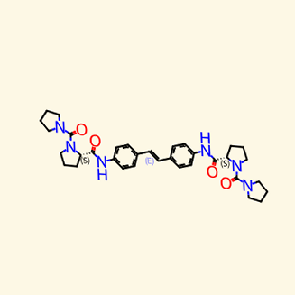 O=C(Nc1ccc(/C=C/c2ccc(NC(=O)[C@@H]3CCCN3C(=O)N3CCCC3)cc2)cc1)[C@@H]1CCCN1C(=O)N1CCCC1